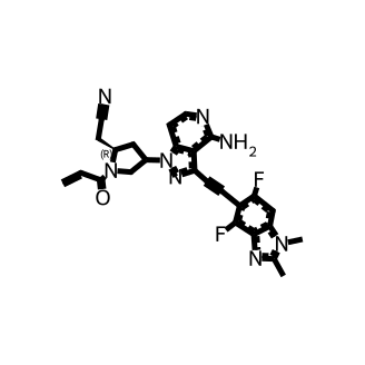 C=CC(=O)N1CC(n2nc(C#Cc3c(F)cc4c(nc(C)n4C)c3F)c3c(N)nccc32)C[C@@H]1CC#N